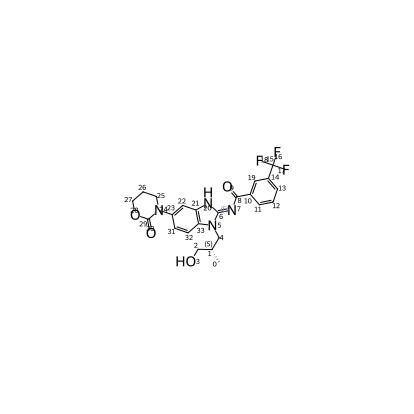 C[C@H](CO)Cn1/c(=N/C(=O)c2cccc(C(F)(F)F)c2)[nH]c2cc(N3CCCOC3=O)ccc21